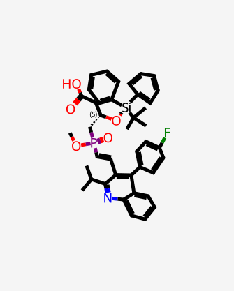 COP(=O)(C=Cc1c(C(C)C)nc2ccccc2c1-c1ccc(F)cc1)C[C@H](CC(=O)O)O[Si](c1ccccc1)(c1ccccc1)C(C)(C)C